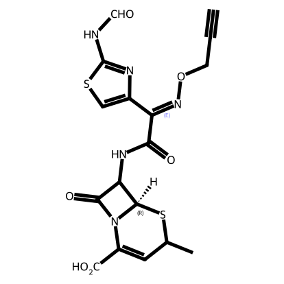 C#CCO/N=C(/C(=O)NC1C(=O)N2C(C(=O)O)=CC(C)S[C@H]12)c1csc(NC=O)n1